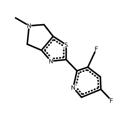 CN1Cc2nc(-c3ncc(F)cc3F)sc2C1